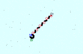 CCOCCOCCOCCOCCOCCOc1ccc(Br)cn1